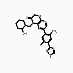 Cc1cc(-c2nc[nH]n2)c(F)cc1-c1cnc2c(n1)N(CC1CCCCC1O)C(=O)CN2